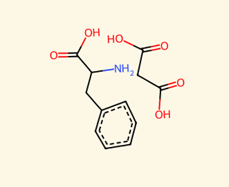 NC(Cc1ccccc1)C(=O)O.O=C(O)CC(=O)O